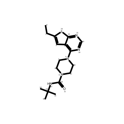 CCc1cc2c(N3CCN(C(=O)NC(C)(C)C)CC3)ncnc2s1